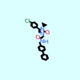 O=C(Cn1cc(-c2ccc(Cl)cc2)n(C2CC2)c1=O)NCc1ccc(-c2ccccc2)cc1